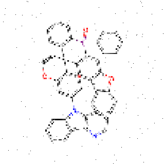 O=P1(c2ccccc2)c2ccccc2C2(c3ccccc3Oc3cc(-n4c5ccccc5c5ncccc54)ccc32)c2cc3c(cc21)oc1ccccc13